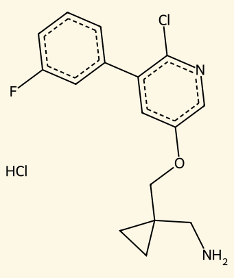 Cl.NCC1(COc2cnc(Cl)c(-c3cccc(F)c3)c2)CC1